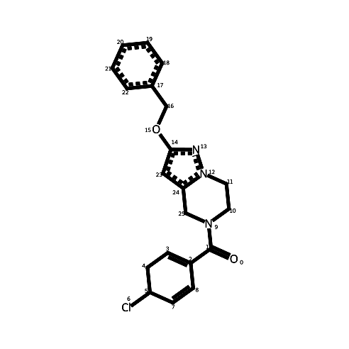 O=C(C1=CCC(Cl)C=C1)N1CCn2nc(OCc3ccccc3)cc2C1